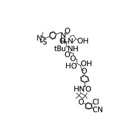 Cc1ncsc1-c1ccc(CNC(=O)[C@@H]2C[C@@H](O)CN2C(=O)[C@@H](NC(=O)COC[C@@H](O)C(O)COc2ccc(C(=O)N[C@H]3C(C)(C)[C@H](Oc4ccc(C#N)c(Cl)c4)C3(C)C)cc2)C(C)(C)C)cc1